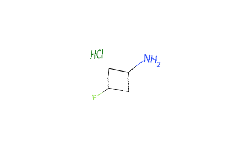 Cl.NC1CC(F)C1